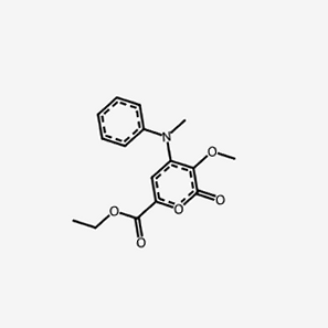 CCOC(=O)c1cc(N(C)c2ccccc2)c(OC)c(=O)o1